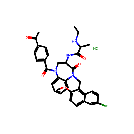 CCNC(C)C(=O)NC1CN(C(=O)c2ccc(C(C)=O)cc2)c2ccccc2N(Cc2c(OC)ccc3cc(Br)ccc23)C1=O.Cl